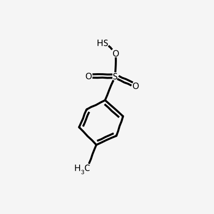 Cc1ccc(S(=O)(=O)OS)cc1